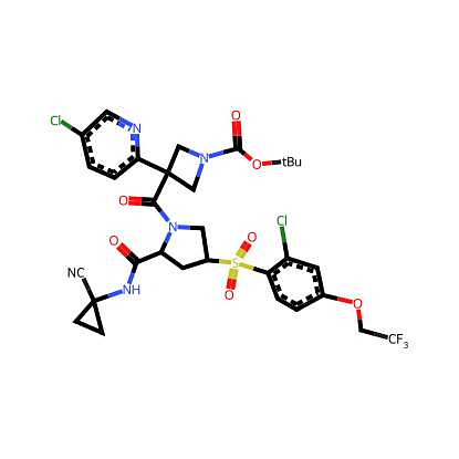 CC(C)(C)OC(=O)N1CC(C(=O)N2CC(S(=O)(=O)c3ccc(OCC(F)(F)F)cc3Cl)CC2C(=O)NC2(C#N)CC2)(c2ccc(Cl)cn2)C1